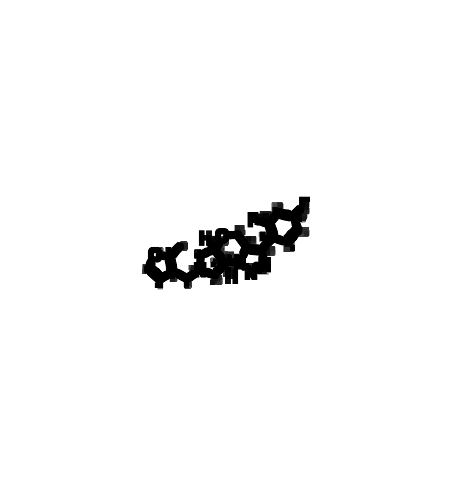 Cc1occc1CN1C[C@@H]2OCc3c(-c4ccc(F)cc4F)nnn3[C@H]2C1